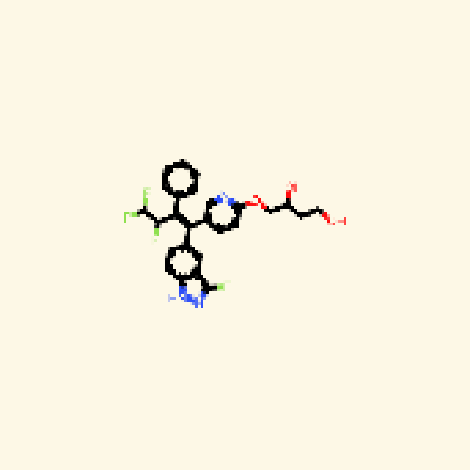 OCCC(O)COc1ccc(C(=C(c2ccccc2)C(F)C(F)F)c2ccc3[nH]nc(F)c3c2)cn1